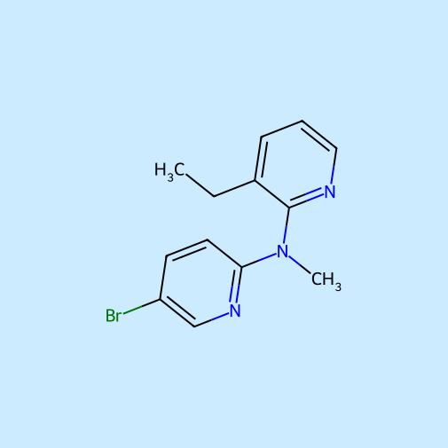 CCc1cccnc1N(C)c1ccc(Br)cn1